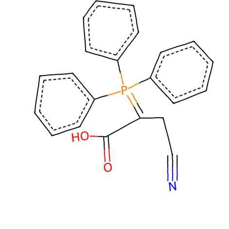 N#CCC(C(=O)O)=P(c1ccccc1)(c1ccccc1)c1ccccc1